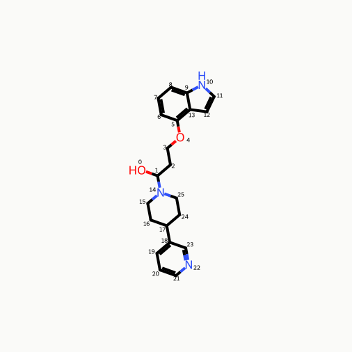 OC(CCOc1cccc2[nH]ccc12)N1CCC(c2cccnc2)CC1